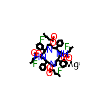 CC(F)=CCC(=O)Oc1ccccc1-c1c2nc(c(-c3ccccc3OC(=O)CC=C(C)F)c3ccc([nH]3)c(-c3ccccc3OC(=O)CC=C(C)F)c3nc(c(-c4ccccc4OC(=O)CC=C(C)F)c4ccc1[nH]4)C=C3)C=C2.[Mg]